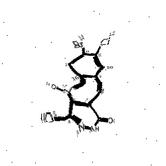 O=c1[nH]nc(O)c2c1cc1cc(Cl)c(Br)cc1[n+]2[O-]